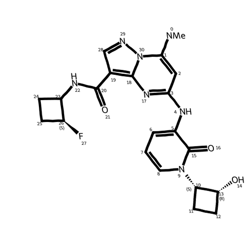 CNc1cc(Nc2cccn([C@H]3CC[C@H]3O)c2=O)nc2c(C(=O)NC3CC[C@@H]3F)cnn12